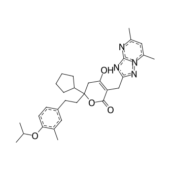 Cc1cc(C)n2nc(CC3=C(O)CC(CCc4ccc(OC(C)C)c(C)c4)(C4CCCC4)OC3=O)nc2n1